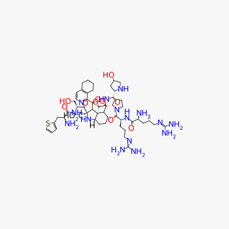 NC(N)=NCCC[C@H](NC(=O)[C@@H](N)CCCN=C(N)N)C(=O)N1CCC[C@H]1C(=O)C1CCC[C@@H]2N[C@](C(=O)O)(C(=O)[C@H](CO)NC(=O)[C@@H](N)Cc3cccs3)C(C(=O)c3nccc4c3CCCC4)[C@@]12C(=O)CNC(=O)[C@@H]1CC(O)CN1